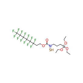 CCO[Si](CCCN(S)C(=O)OCCC(F)(F)C(F)(F)C(F)(F)C(F)(F)C(F)(F)C(F)(F)F)(OCC)OCC